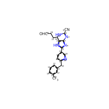 N#CC1=Nc2nc(-c3ccc(Cc4cccc(C(F)(F)F)c4)nc3)[nH]c2C(CCC=O)N1